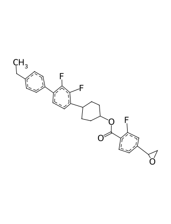 CCc1ccc(-c2ccc(C3CCC(OC(=O)c4ccc(C5CO5)cc4F)CC3)c(F)c2F)cc1